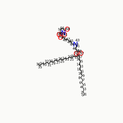 CCCCCCCCCCCCCCCCCCC1(CCCCCCCCCCCCCCCCCC)OCC(CCN(C)CCCCCC(=O)ON2C(=O)CCC2=O)O1